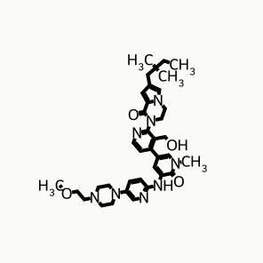 CCC(C)(C)Cc1cc2n(c1)CCN(c1nccc(-c3cc(Nc4ccc(N5CCN(CCOC)CC5)cn4)c(=O)n(C)c3)c1CO)C2=O